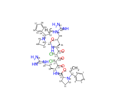 C=CC(c1ccccc1)N1CCC[C@H]1C(=O)N[C@@H](CCCNC(=N)N)C(=O)C(Cl)C(=O)C(Cl)C(=O)[C@H](CCCNC(=N)N)NC(=O)[C@@H]1CCCN1C(C=C)c1ccccc1